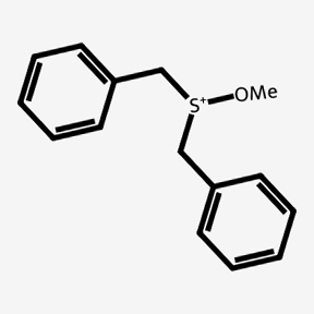 CO[S+](Cc1ccccc1)Cc1ccccc1